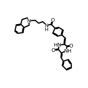 O=C(NCCCN1CCc2ccccc2C1)c1ccc(C=c2[nH]c(=O)c(=Cc3ccccc3)[nH]c2=O)cc1